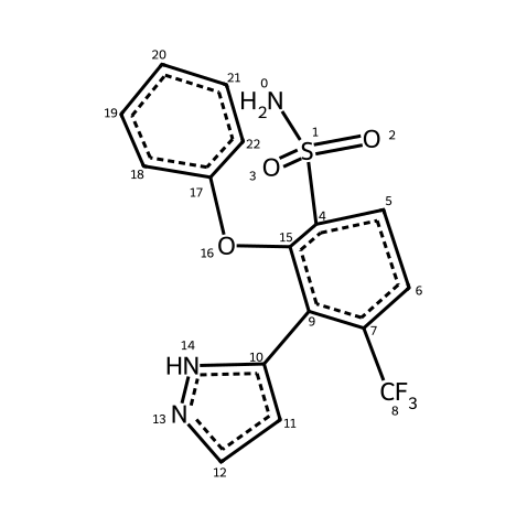 NS(=O)(=O)c1ccc(C(F)(F)F)c(-c2ccn[nH]2)c1Oc1ccccc1